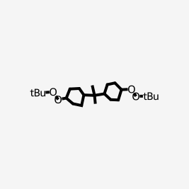 CC(C)(C)OOC1CCC(C(C)(C)C2CCC(OOC(C)(C)C)CC2)CC1